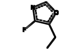 CCc1ocnc1F